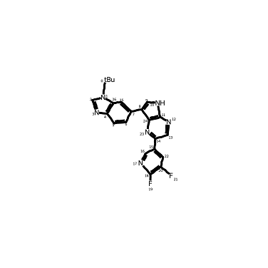 CC(C)(C)n1cnc2ccc(-c3c[nH]c4ncc(-c5cnc(F)c(F)c5)nc34)cc21